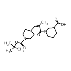 CC(=CC1CCN(C(=O)OC(C)(C)C)CC1)C(=O)N1CCCC(C(=O)O)C1